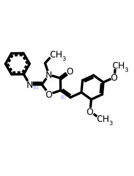 CCN1C(=O)/C(=C\C2C=CC(OC)=CC2OC)O/C1=N/c1ccccc1